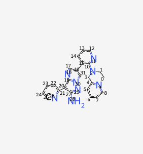 CCN(Cc1ccccn1)c1ncccc1-c1cnc2c(-c3ccccn3)c(N)nn2c1